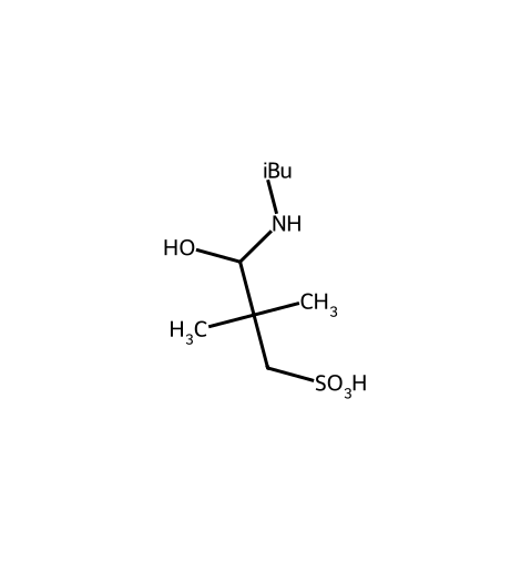 CCC(C)NC(O)C(C)(C)CS(=O)(=O)O